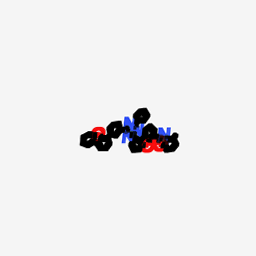 Cc1cccc2oc(-c3cccc4c3oc3cccc(-c5nc(-c6ccccc6)nc(-c6cccc(-c7cccc8c7oc7ccccc78)c6)n5)c34)nc12